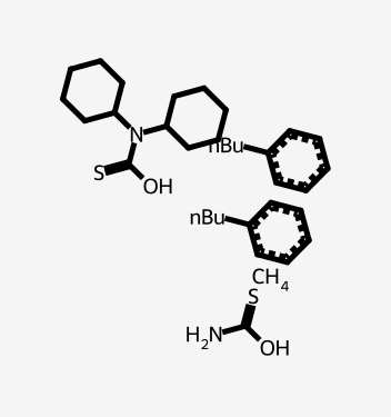 C.CCCCc1ccccc1.CCCCc1ccccc1.NC(O)=S.OC(=S)N(C1CCCCC1)C1CCCCC1